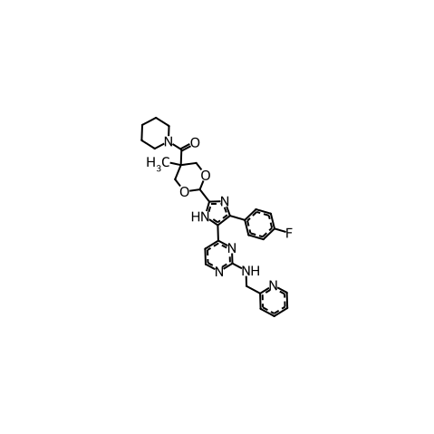 CC1(C(=O)N2CCCCC2)COC(c2nc(-c3ccc(F)cc3)c(-c3ccnc(NCc4ccccn4)n3)[nH]2)OC1